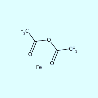 O=C(OC(=O)C(F)(F)F)C(F)(F)F.[Fe]